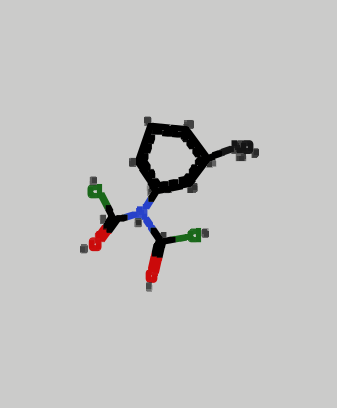 O=C(Cl)N(C(=O)Cl)c1cccc([N+](=O)[O-])c1